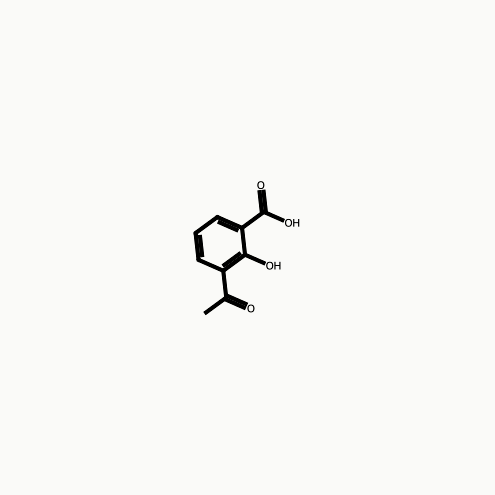 CC(=O)c1cccc(C(=O)O)c1O